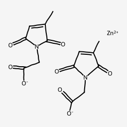 CC1=CC(=O)N(CC(=O)[O-])C1=O.CC1=CC(=O)N(CC(=O)[O-])C1=O.[Zn+2]